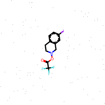 O=C(ON1CCc2ccc(I)cc2C1)C(F)(F)F